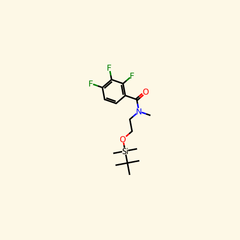 CN(CCO[Si](C)(C)C(C)(C)C)C(=O)c1ccc(F)c(F)c1F